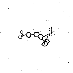 COC(C)OCOc1cc2ccc(-c3ccc(C(=O)Cl)cc3)cc2cc1C12CC3CC(CC(C3)C1)C2